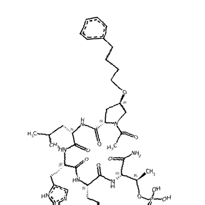 CC(=O)N1C[C@H](OCCCCc2ccccc2)C[C@H]1C(=O)N[C@@H](CC(C)C)C(=O)N[C@@H](Cc1cnc[nH]1)C(=O)N[C@@H](CO)C(=O)N[C@H](C(N)=O)[C@@H](C)OP(=O)(O)O